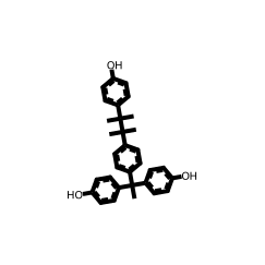 CC(c1ccc(O)cc1)(c1ccc(O)cc1)c1ccc(C(C)(C)C(C)(C)c2ccc(O)cc2)cc1